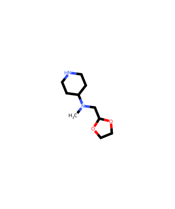 CN(CC1OCCO1)C1CCNCC1